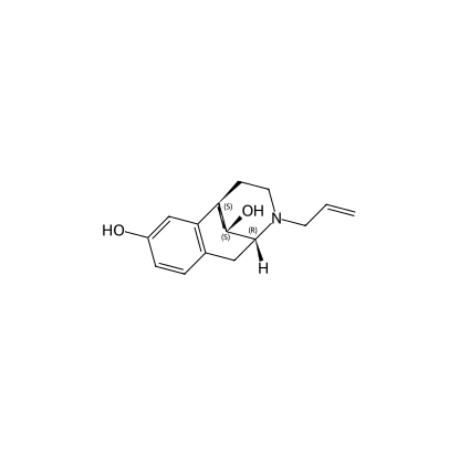 C=CCN1CC[C@]23CCCC[C@@]2(O)[C@H]1Cc1ccc(O)cc13